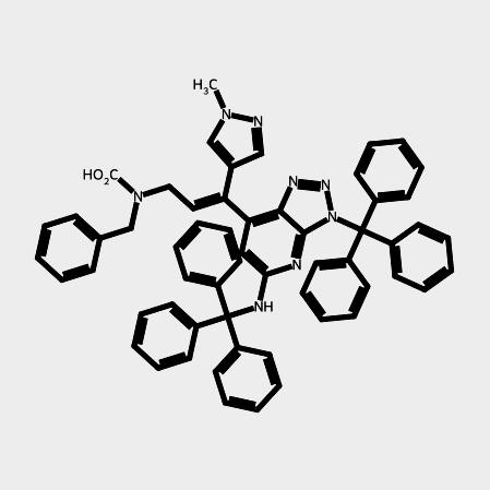 Cn1cc(C(=CCN(Cc2ccccc2)C(=O)O)c2cc(NC(c3ccccc3)(c3ccccc3)c3ccccc3)nc3c2nnn3C(c2ccccc2)(c2ccccc2)c2ccccc2)cn1